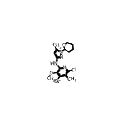 COc1c(Nc2cc(C)n(C3CCCCO3)n2)nc(Cl)c(C)c1Br